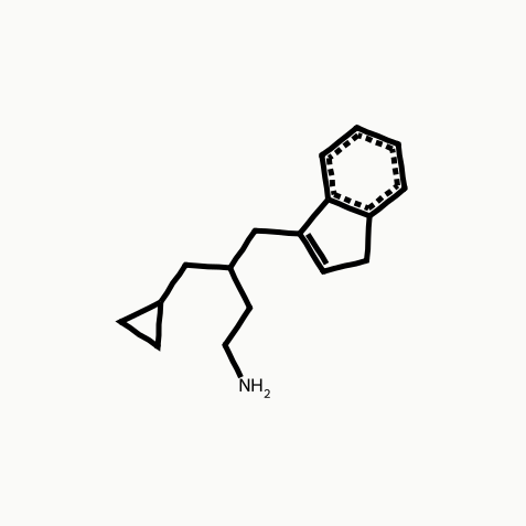 NCCC(CC1=CCc2ccccc21)CC1CC1